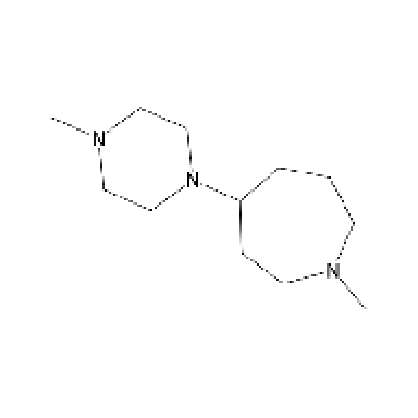 CN1CCCC(N2CCN(C)CC2)CC1